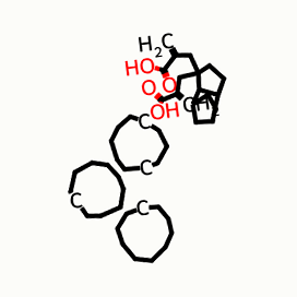 C1CCCCCCCCC1.C1CCCCCCCCC1.C1CCCCCCCCC1.C=C(CC1(CC(=C)C(=O)O)CCC2C3CCC(C3)C21)C(=O)O